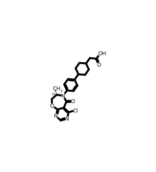 C[C@H]1COc2ncnc(Cl)c2C(=O)N1c1ccc(C2CCC(CC(=O)O)CC2)cc1